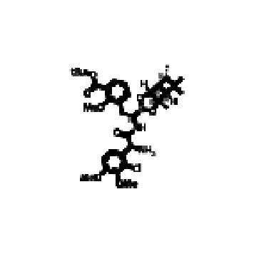 COc1ccc(C(N)C(=O)N[C@@H](Cc2cccc(C(=O)OC(C)(C)C)c2OC)B2O[C@@H]3C4[C@H](C)C(C)(C)[C@H]4[C@]3(C)O2)c(Cl)c1OC